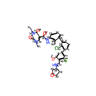 COc1cc(-c2cccc(-c3cccc(NC(=O)C4=CN(C)C5OC5N(C)C4=O)c3C)c2Cl)cc(F)c1CN[C@H]1CCOC1